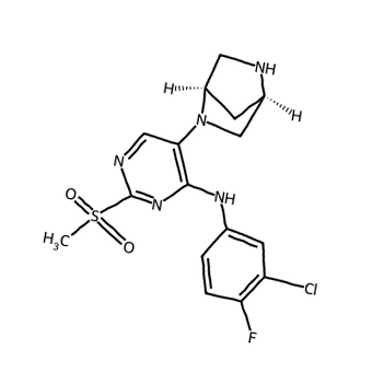 CS(=O)(=O)c1ncc(N2C[C@H]3C[C@@H]2CN3)c(Nc2ccc(F)c(Cl)c2)n1